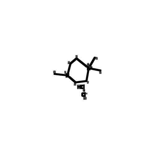 CN1CC[N+](C)(C)CC1.Cl.[Cl-]